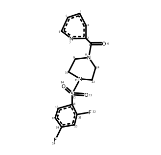 O=C(c1ccccn1)N1CCN(S(=O)(=O)c2ccc(F)cc2F)CC1